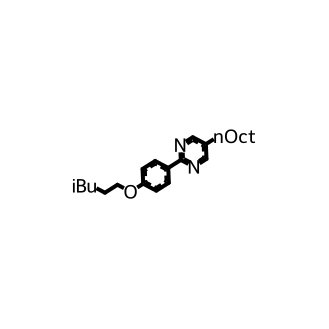 CCCCCCCCc1cnc(-c2ccc(OCCC(C)CC)cc2)nc1